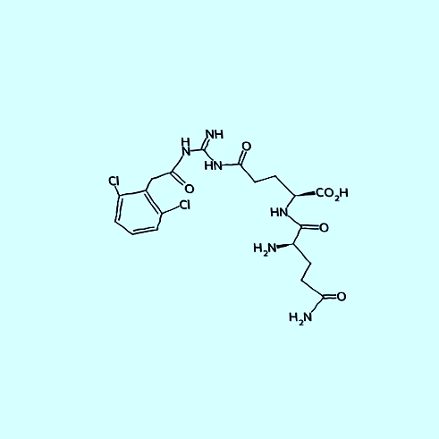 N=C(NC(=O)CC[C@H](NC(=O)[C@H](N)CCC(N)=O)C(=O)O)NC(=O)Cc1c(Cl)cccc1Cl